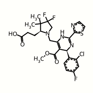 COC(=O)C1=C(CN2CC(F)(F)C(C)(C)[C@@H]2CCC(=O)O)NC(c2nccs2)=N[C@H]1c1ccc(F)cc1Cl